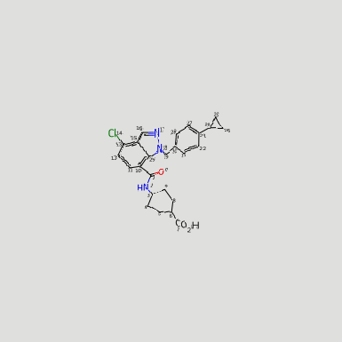 O=C(NC1CCC(C(=O)O)CC1)c1ccc(Cl)c2cnn(Cc3ccc(C4CC4)cc3)c12